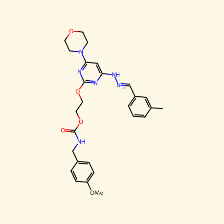 COc1ccc(CNC(=O)OCCOc2nc(N/N=C/c3cccc(C)c3)cc(N3CCOCC3)n2)cc1